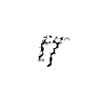 C=CC#C/C=C/CCC(OCCCCC)OCCCCC.CCC/C=C/C#CC=C(OCCCC)OCCCC